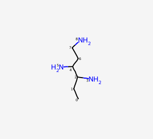 CCC(N)C(N)CCN